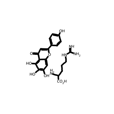 N=C(N)NCCCC(N)C(=O)O.O=c1cc(-c2ccc(O)cc2)oc2cc(O)c(O)c(O)c12